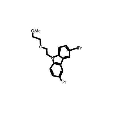 COCCOCCn1c2ccc(C(C)C)cc2c2cc(C(C)C)ccc21